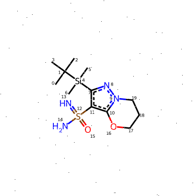 CC(C)(C)[Si](C)(C)c1nn2c(c1S(=N)(N)=O)OCCC2